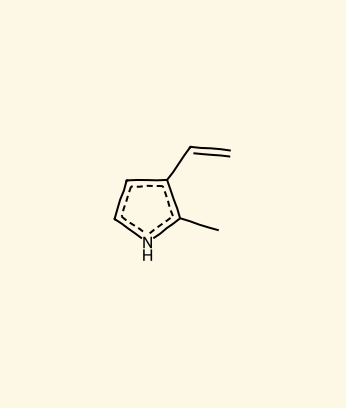 C=Cc1cc[nH]c1C